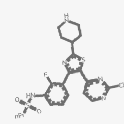 CCCS(=O)(=O)Nc1cccc(-c2nc(C3CCNCC3)sc2-c2ccnc(Cl)n2)c1F